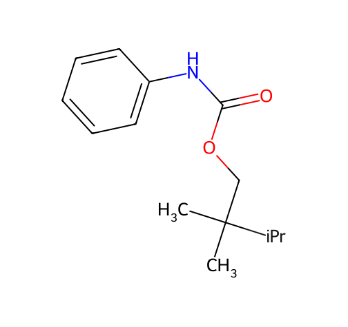 CC(C)C(C)(C)COC(=O)Nc1ccccc1